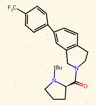 CC(C)(C)N1CCC[C@@H]1C(=O)N1CCc2ccc(-c3ccc(C(F)(F)F)cc3)cc2C1